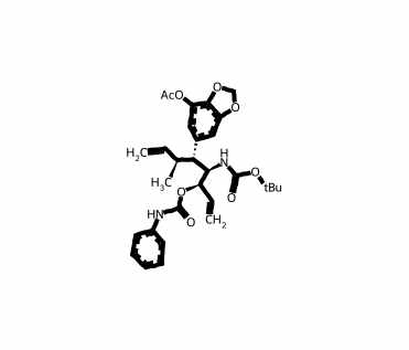 C=C[C@H](C)[C@H](c1cc2c(c(OC(C)=O)c1)OCO2)[C@@H](NC(=O)OC(C)(C)C)[C@@H](C=C)OC(=O)Nc1ccccc1